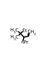 C=CC(CCC)C(C)(C)CC